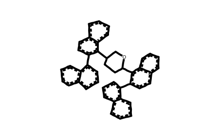 c1ccc2c(-c3ccc4ccccc4c3C3CCC(c4c(-c5cccc6ccccc56)ccc5ccccc45)OC3)cccc2c1